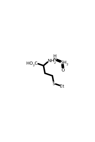 CCSCCC(N)C(=O)O.N=[SH2]=O